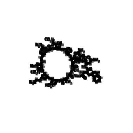 CCCCCCCCCC(=O)NC(Cc1c[nH]c2ccccc12)C(=O)NC(CC(N)=O)C(=O)NC(C(=O)NC1C(=O)N(C)CC(=O)NC(C)C(=O)NC(CC(=O)O)C(=O)NC(CCCCN)C(=O)NC(C(OC)C(=O)O)C(=O)NCC(=O)NC(CC(N)=O)C(=O)NC(C(C)CC(=O)O)C(=O)NC(C(C)CC)C(=O)OC1C)C(O)C(N)=O